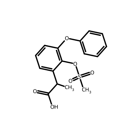 CC(C(=O)O)c1cccc(Oc2ccccc2)c1OS(C)(=O)=O